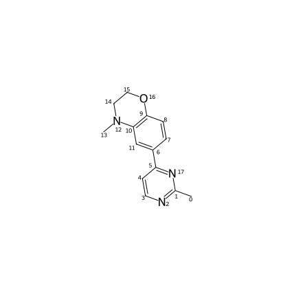 Cc1nccc(-c2ccc3c(c2)N(C)CCO3)n1